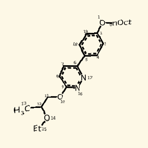 CCCCCCCCOc1ccc(-c2ccc(OCC(C)OCC)nn2)cc1